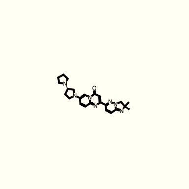 CC1(C)CN2N=C(c3cc(=O)n4cc(N5CC[C@H](N6CCCC6)C5)ccc4n3)C=CC2=N1